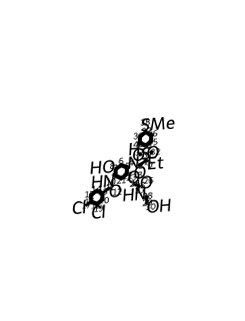 CCC(C(=O)Nc1cc(O)c(NC(=O)c2ccc(Cl)c(Cl)c2)cc1OCC(=O)NCCO)S(=O)(=O)c1ccc(SC)cc1